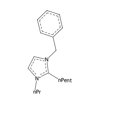 CCCCCc1n(Cc2ccccc2)cc[n+]1CCC